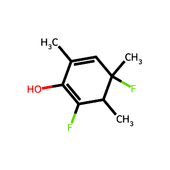 CC1=CC(C)(F)C(C)C(F)=C1O